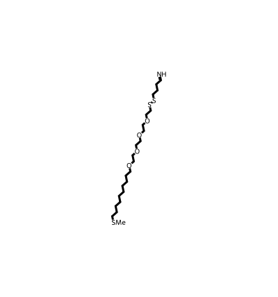 CSCCCCCCCCCCOCCOCCOCCOCCSSCCCC=N